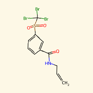 C=CCNC(=O)c1cccc(S(=O)(=O)C(Br)(Br)Br)c1